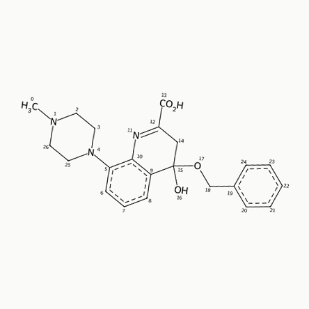 CN1CCN(c2cccc3c2N=C(C(=O)O)CC3(O)OCc2ccccc2)CC1